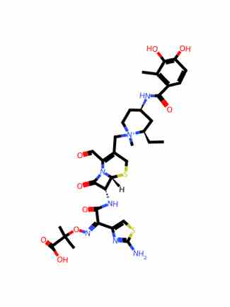 CC[C@@H]1C[C@H](NC(=O)c2ccc(O)c(O)c2C)CC[N+]1(C)CC1=C(C=O)N2C(=O)[C@@H](NC(=O)/C(=N\OC(C)(C)C(=O)O)c3csc(N)n3)[C@H]2SC1